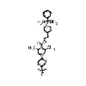 BC(B)(c1ccccc1)N1CCC(CCOC(=O)N2[C@H](C)CN(c3cnc(C(F)(F)F)cn3)C[C@@H]2C)CC1